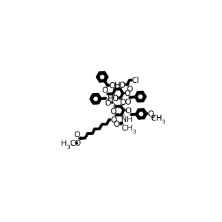 COC(=O)CCCCCCCCO[C@@H]1O[C@H](COCc2ccccc2)[C@@H](O[C@@H]2O[C@@H]3COC(c4ccccc4)O[C@@H]3[C@H](OC(=O)CCl)[C@H]2OC(=O)c2ccccc2)[C@H](OCc2ccc(OC)cc2)[C@H]1NC(C)=O